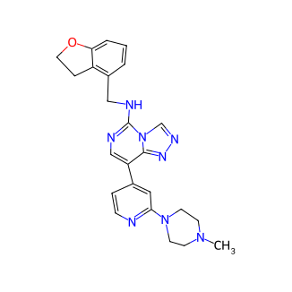 CN1CCN(c2cc(-c3cnc(NCc4cccc5c4CCO5)n4cnnc34)ccn2)CC1